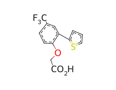 O=C(O)COc1ccc(C(F)(F)F)cc1-c1cccs1